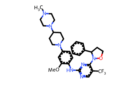 COc1cc(N2CCC(N3CCN(C)CC3)CC2)ccc1Nc1ncc(C(F)(F)F)c(N2OCCC2c2ccccc2)n1